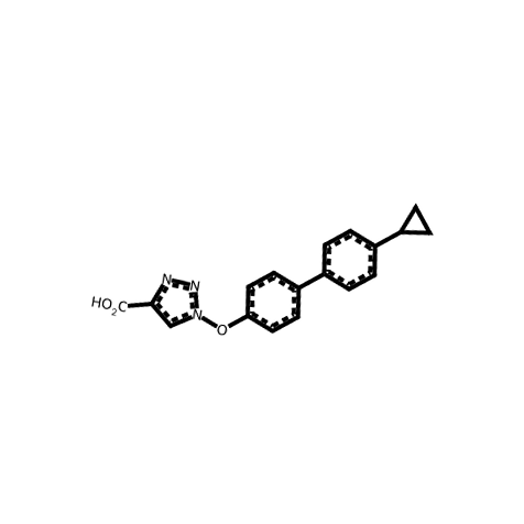 O=C(O)c1cn(Oc2ccc(-c3ccc(C4CC4)cc3)cc2)nn1